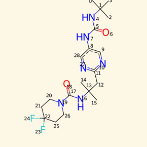 CC(C)(C)NC(=O)Nc1cnc(CC(C)(C)NC(=O)N2CCC(F)(F)CC2)nc1